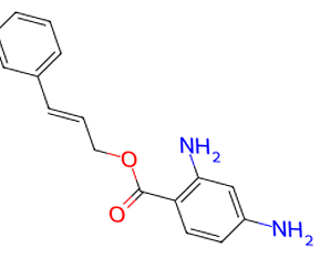 Nc1ccc(C(=O)OCC=Cc2ccccc2)c(N)c1